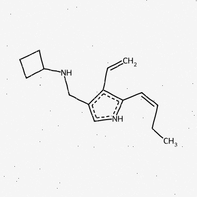 C=Cc1c(CNC2CCC2)c[nH]c1/C=C\CC